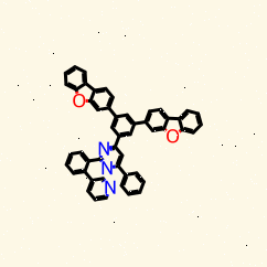 c1ccc(-c2cc(-c3cc(-c4ccc5c(c4)oc4ccccc45)cc(-c4ccc5c(c4)oc4ccccc45)c3)nc(-c3ccccc3-c3cccnc3)n2)cc1